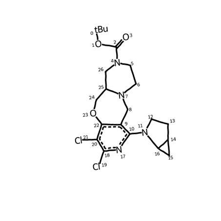 CC(C)(C)OC(=O)N1CCN2Cc3c(N4CCC5CC54)nc(Cl)c(Cl)c3OCC2C1